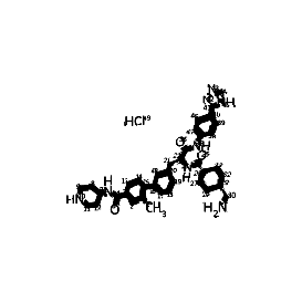 Cc1cc(C(=O)NC2CCNCC2)ccc1-c1cccc(C[C@H](NC(=O)[C@H]2CC[C@H](CN)CC2)C(=O)Nc2ccc(-c3nnn[nH]3)cc2)c1.Cl